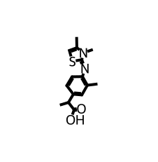 Cc1cc(C(C)C(=O)O)ccc1/N=c1\scc(C)n1C